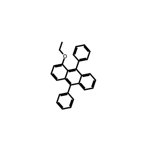 CCOc1cccc2c(-c3ccccc3)c3ccccc3c(-c3ccccc3)c12